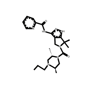 CCCN1C[C@H](C)N(C(=O)N2Cc3c(NC(=O)c4ccccn4)n[nH]c3C2(C)C)C[C@H]1C